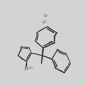 CC(C1=[C]([Zr+2])CC=C1)(c1ccccc1)c1ccccc1.[Cl-].[Cl-]